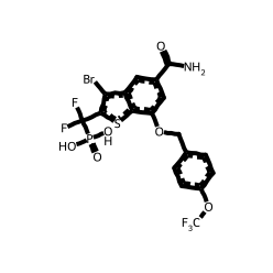 NC(=O)c1cc(OCc2ccc(OC(F)(F)F)cc2)c2sc(C(F)(F)P(=O)(O)O)c(Br)c2c1